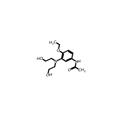 CCOc1ccc(NC(C)=O)cc1N(CCO)CCO